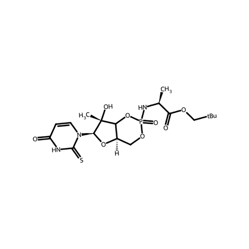 C[C@H](NP1(=O)OC[C@H]2O[C@@H](n3ccc(=O)[nH]c3=S)[C@](C)(O)C2O1)C(=O)OCC(C)(C)C